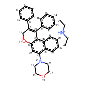 CCNCC.c1ccc(C2=C(c3ccccc3)c3c(cc(N4CCOCC4)c4ccccc34)OC2)cc1